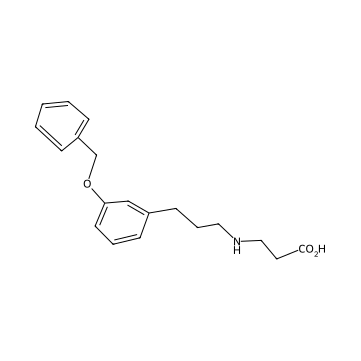 O=C(O)CCNCCCc1cccc(OCc2ccccc2)c1